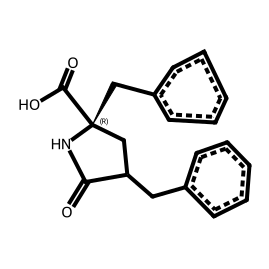 O=C1N[C@](Cc2ccccc2)(C(=O)O)CC1Cc1ccccc1